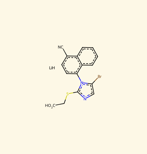 N#Cc1ccc(-n2c(Br)cnc2SCC(=O)O)c2ccccc12.[LiH]